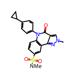 CNS(=O)(=O)c1ccc2c(c1)c1nn(C)cc1c(=O)n2-c1ccc(C2CC2)cc1